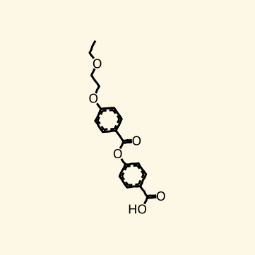 CCOCCOc1ccc(C(=O)Oc2ccc(C(=O)O)cc2)cc1